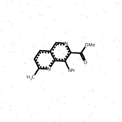 CCCc1c(C(=O)OC)ncc2ccc(C)nc12